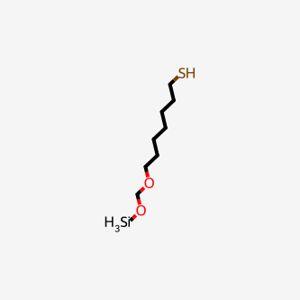 [SiH3]OCOCCCCCCCS